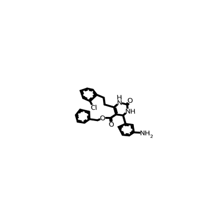 Nc1cccc(C2NC(=O)NC(CCc3ccccc3Cl)=C2C(=O)OCc2ccccc2)c1